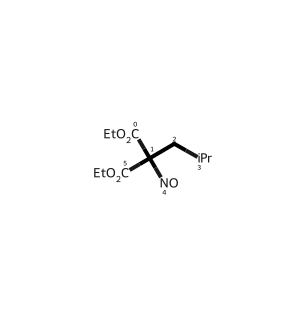 CCOC(=O)C(CC(C)C)(N=O)C(=O)OCC